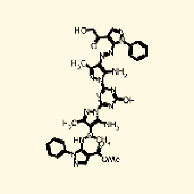 COC(=O)c1cnn(-c2ccccc2)c1NN(C)c1c(C)nn(-c2nc(O)nc(-n3nc(C)c(/N=N/c4c(C(=O)CO)cnn4-c4ccccc4)c3N)n2)c1N